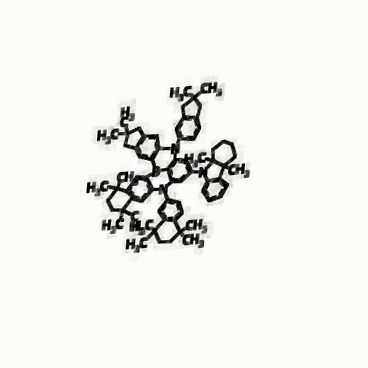 CC1(C)Cc2ccc(N3c4cc5c(cc4B4c6cc7c(cc6N(c6ccc8c(c6)C(C)(C)CCC8(C)C)c6cc(N8c9ccccc9C9(C)CCCCC89C)cc3c64)C(C)(C)CCC7(C)C)CC(C)(C)C5)cc2C1